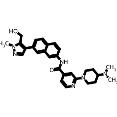 CN(C)C1CCN(c2cc(C(=O)Nc3ccc4ccc(-c5cnn(C)c5CO)cc4c3)ccn2)CC1